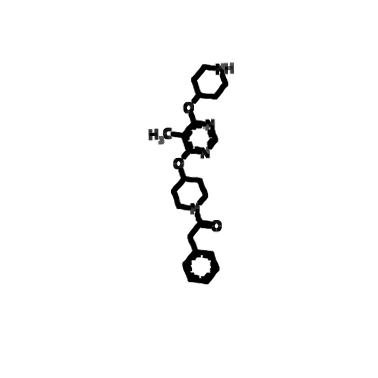 Cc1c(OC2CCNCC2)ncnc1OC1CCN(C(=O)Cc2ccccc2)CC1